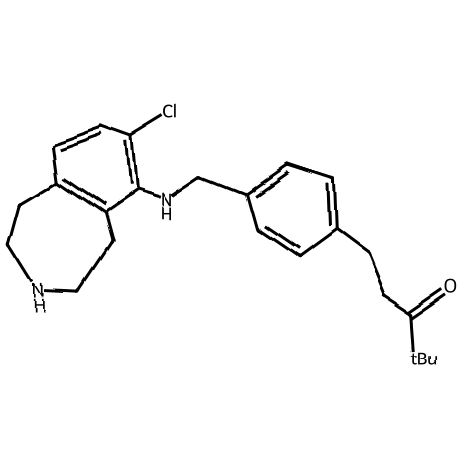 CC(C)(C)C(=O)CCc1ccc(CNc2c(Cl)ccc3c2CCNCC3)cc1